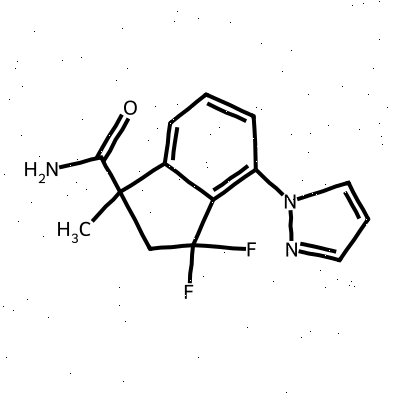 CC1(C(N)=O)CC(F)(F)c2c(-n3cccn3)cccc21